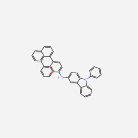 c1ccc(-c2cccc3cccc(-c4ccc(Nc5ccc6c(c5)c5ccccc5n6-c5ccccc5)cc4)c23)cc1